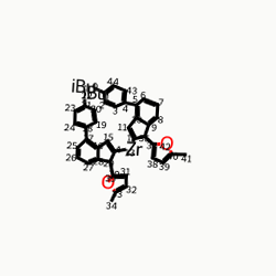 CCC(C)c1ccc(-c2cccc3c2C=[C]([Zr][C]2=Cc4c(-c5ccc(C(C)CC)cc5)cccc4C2c2ccc(C)o2)C3c2ccc(C)o2)cc1